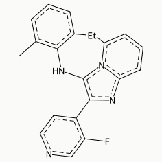 CCc1cccc2nc(-c3ccncc3F)c(Nc3c(C)cccc3C)n12